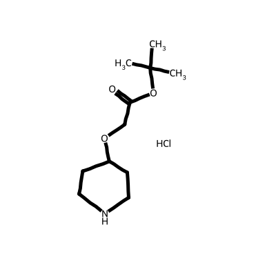 CC(C)(C)OC(=O)COC1CCNCC1.Cl